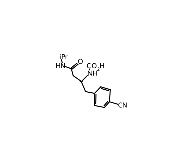 CC(C)NC(=O)CC(Cc1ccc(C#N)cc1)NC(=O)O